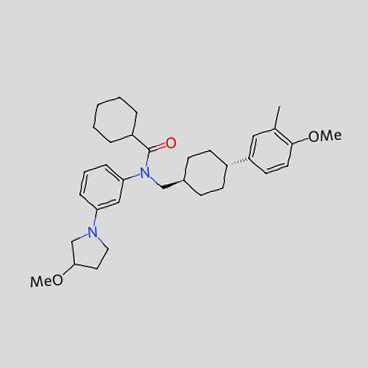 COc1ccc([C@H]2CC[C@H](CN(C(=O)C3CCCCC3)c3cccc(N4CCC(OC)C4)c3)CC2)cc1C